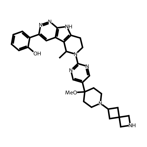 COC1(c2cnc(N3CCc4[nH]c5nnc(-c6ccccc6O)cc5c4C3C)nc2)CCN(C2CC3(CNC3)C2)CC1